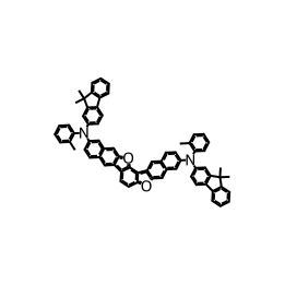 Cc1ccccc1N(c1ccc2c(c1)C(C)(C)c1ccccc1-2)c1ccc2cc3c(cc2c1)oc1c3ccc2oc3cc4cc(N(c5ccc6c(c5)C(C)(C)c5ccccc5-6)c5ccccc5C)ccc4cc3c21